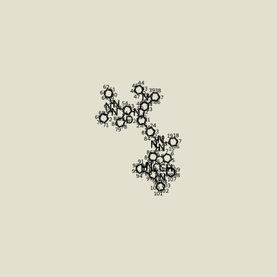 CC1(C)c2ccccc2-c2c(-c3nc(-c4ccccc4)nc(-c4ccc(-c5ccc6c(c5)c5cc7c8ccccc8n(-c8ccccc8)c7cc5n6-c5ccc(-c6nc(-c7ccccc7)nc(-c7ccccc7)n6)c6c5oc5ccccc56)cc4)n3)ccc(-n3c4ccccc4c4cc5c6ccccc6n(-c6ccccc6)c5cc43)c21